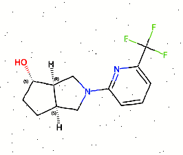 O[C@H]1CC[C@@H]2CN(c3cccc(C(F)(F)F)n3)C[C@@H]21